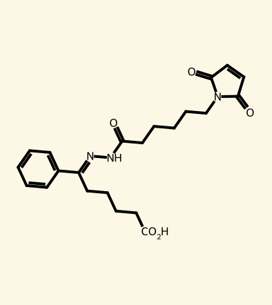 O=C(O)CCCCC(=NNC(=O)CCCCCN1C(=O)C=CC1=O)c1ccccc1